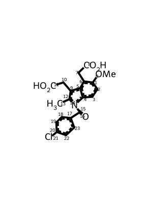 COc1ccc2c(c1CC(=O)O)c(CC(=O)O)c(C)n2C(=O)c1ccc(Cl)cc1